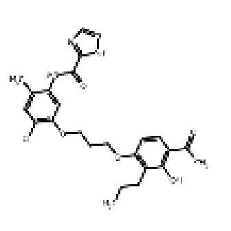 CCCc1c(OCCCOc2cc(NC(=O)c3ncn[nH]3)c(C)cc2Cl)ccc(C(C)=O)c1O